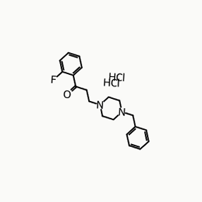 Cl.Cl.O=C(CCN1CCN(Cc2ccccc2)CC1)c1ccccc1F